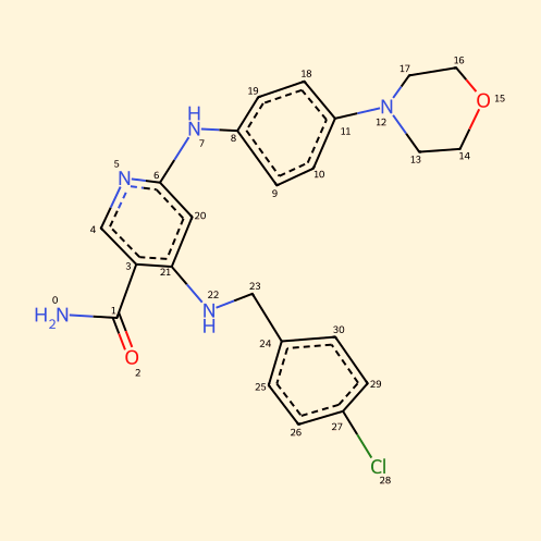 NC(=O)c1cnc(Nc2ccc(N3CCOCC3)cc2)cc1NCc1ccc(Cl)cc1